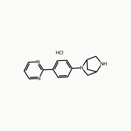 Cl.c1cnc(-c2ccc(N3CC4CC3CN4)cc2)nc1